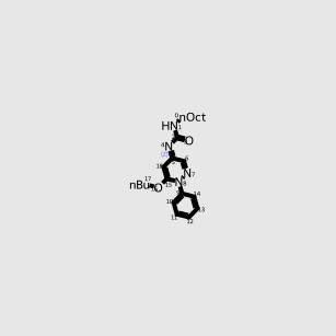 CCCCCCCCNC(=O)/N=c1\cnn(-c2ccccc2)c(OCCCC)c1